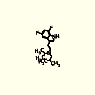 CC(C)CN(CCc1c[nH]c2c(F)cc(F)cc12)C(C)C